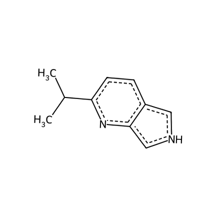 CC(C)c1ccc2c[nH]cc2n1